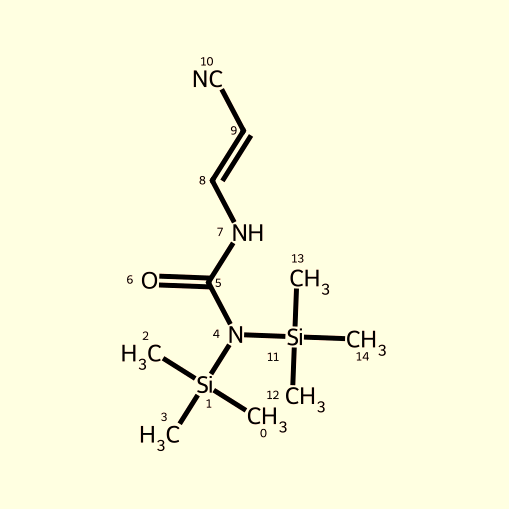 C[Si](C)(C)N(C(=O)NC=CC#N)[Si](C)(C)C